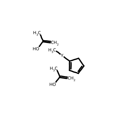 C=C(C)O.C=C(C)O.[CH3][Y][C]1=CC=CC1